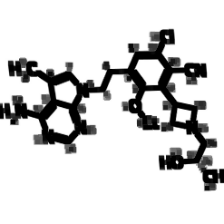 CCOc1c(CCn2cc(C)c3c(N)ncnc32)cc(Cl)c(C#N)c1C1CN(C[C@H](C)O)C1